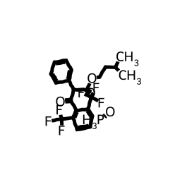 CC(C)CCOC(=O)C(C(=O)c1c(C(F)(F)F)cccc1C(F)(F)F)c1ccccc1.O=[PH3]